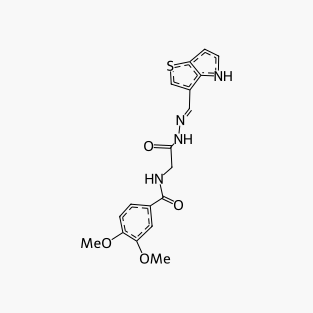 COc1ccc(C(=O)NCC(=O)N/N=C/c2csc3cc[nH]c23)cc1OC